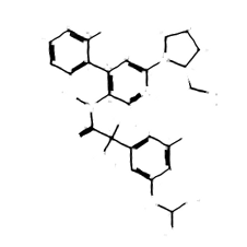 CN(C(=O)C(C)(C)c1cc(Cl)cc(OC(F)F)c1)c1cnc(N2CCC[C@H]2CO)cc1-c1ccccc1Cl